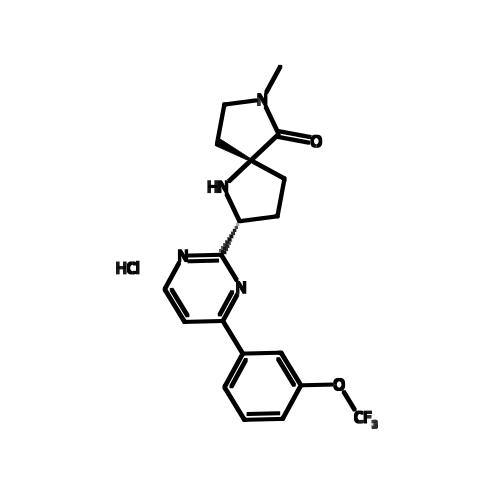 CN1CC[C@]2(CC[C@H](c3nccc(-c4cccc(OC(F)(F)F)c4)n3)N2)C1=O.Cl